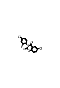 O=c1oc2ccc(Cl)cc2c(=O)n1-c1ccc(Cl)cc1F